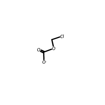 [O]C(=O)OCCl